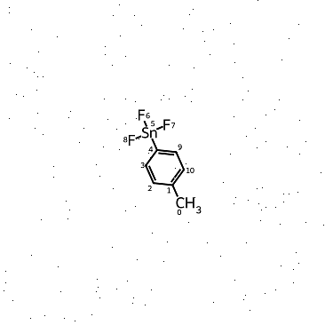 Cc1cc[c]([Sn]([F])([F])[F])cc1